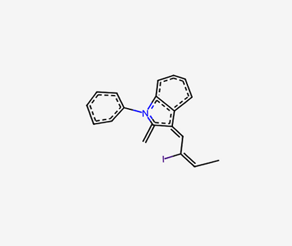 C=c1/c(=C\C(I)=C/C)c2ccccc2n1-c1ccccc1